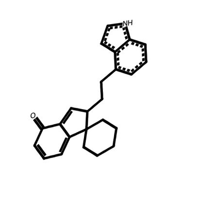 O=C1C=CC=C2C1=CC(CCc1cccc3[nH]ccc13)C21CCCCC1